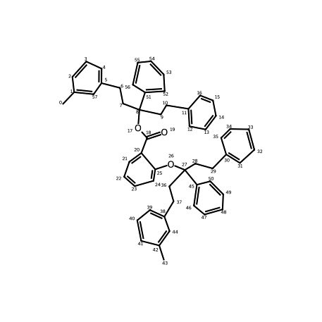 Cc1cccc(CCC(CCc2ccccc2)(OC(=O)c2ccccc2OC(CCc2ccccc2)(CCc2cccc(C)c2)c2ccccc2)c2ccccc2)c1